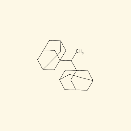 CC(C12CC3CC(CC(C3)C1)C2)C12CC3CC(CC(C3)C1)C2